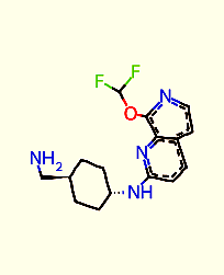 NC[C@H]1CC[C@H](Nc2ccc3ccnc(OC(F)F)c3n2)CC1